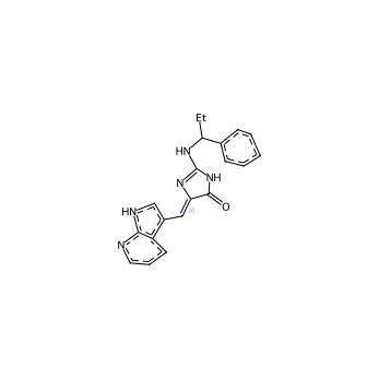 CCC(NC1=N/C(=C\c2c[nH]c3ncccc23)C(=O)N1)c1ccccc1